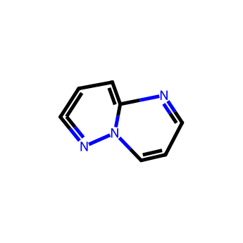 C1=CC=C2N=CC=CN2N=1